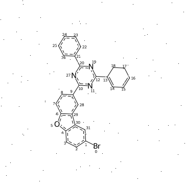 Brc1ccc2oc3ccc(-c4nc(C5=CC=CCC5)nc(-c5ccccc5)n4)cc3c2c1